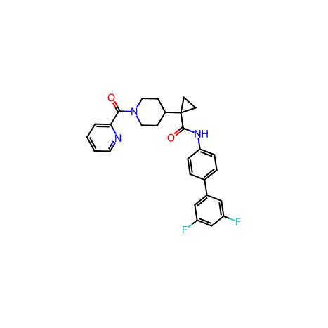 O=C(c1ccccn1)N1CCC(C2(C(=O)Nc3ccc(-c4cc(F)cc(F)c4)cc3)CC2)CC1